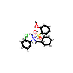 COc1ccccc1S(=O)(=O)[N+](C)(CC1CCCCC1)c1ccccc1Cl